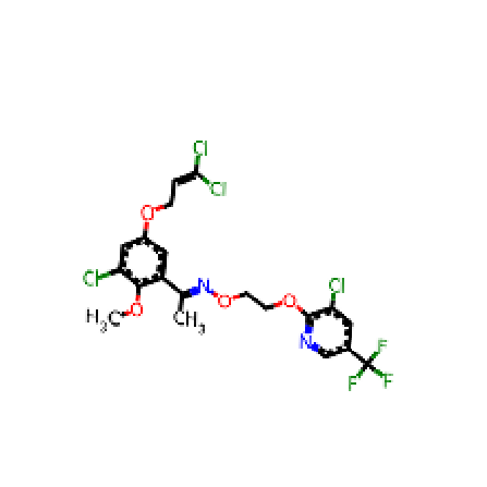 COc1c(Cl)cc(OCC=C(Cl)Cl)cc1C(C)=NOCCOc1ncc(C(F)(F)F)cc1Cl